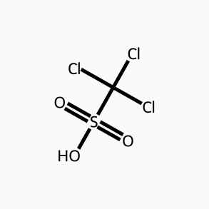 O=S(=O)(O)C(Cl)(Cl)Cl